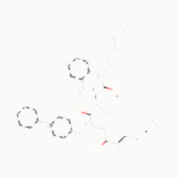 CN(C(=O)/C=C/CC(C)(C)N)[C@H](Cc1ccc(-c2ccccc2)cc1)C(=O)N(C)[C@H](Cc1ccccc1)C(=O)NCCCCN